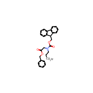 O=C(O)CCN(CC(=O)OCc1ccccc1)C(=O)OCC1c2ccccc2-c2ccccc21